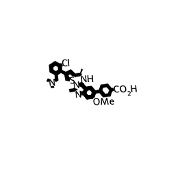 COc1cc2nc(C)nc(N[C@H](C)c3cc(-c4c(Cl)cccc4CN(C)C)cs3)c2cc1C1=CCC(C(=O)O)CC1